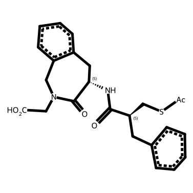 CC(=O)SC[C@@H](Cc1ccccc1)C(=O)N[C@H]1Cc2ccccc2CN(CC(=O)O)C1=O